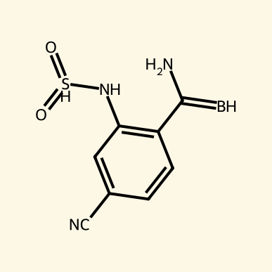 B=C(N)c1ccc(C#N)cc1N[SH](=O)=O